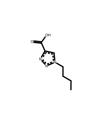 CCCCn1cc(C(=O)O)nn1